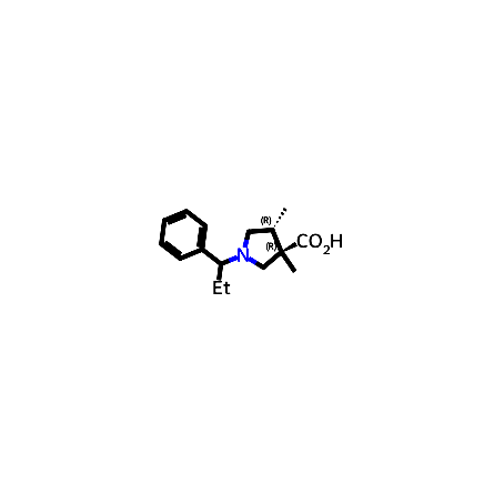 CCC(c1ccccc1)N1C[C@H](C)[C@@](C)(C(=O)O)C1